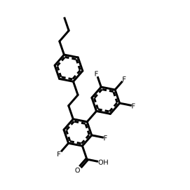 CCCc1ccc(CCc2cc(F)c(C(=O)O)c(F)c2-c2cc(F)c(F)c(F)c2)cc1